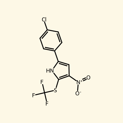 O=[N+]([O-])c1cc(-c2ccc(Cl)cc2)[nH]c1SC(F)(F)F